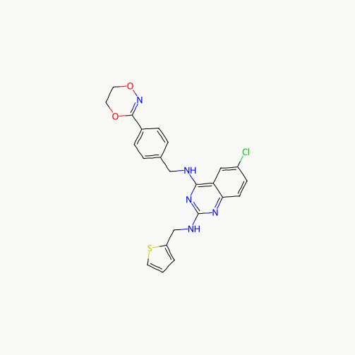 Clc1ccc2nc(NCc3cccs3)nc(NCc3ccc(C4=NOCCO4)cc3)c2c1